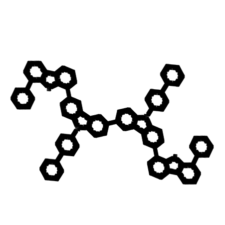 c1ccc(-c2ccc(-n3c4ccc(-c5ccc6c(c5)c5cc(-c7cccc8c7sc7c(-c9ccccc9)cccc78)ccc5n6-c5ccc(-c6ccccc6)cc5)cc4c4cc(-c5cccc6c5sc5c(-c7ccccc7)cccc56)ccc43)cc2)cc1